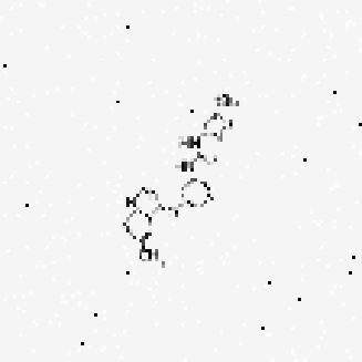 Cc1ccc2ncnc(Oc3cccc(NC(=O)Nc4cc(C(C)(C)C)on4)c3)c2c1